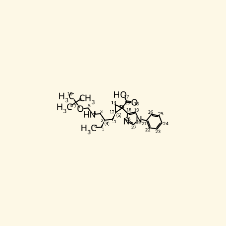 CC[C@@H](CNCOC(C)(C)C)C[C@H]1C[C@]1(C(=O)O)c1cn(-c2ccccc2)cn1